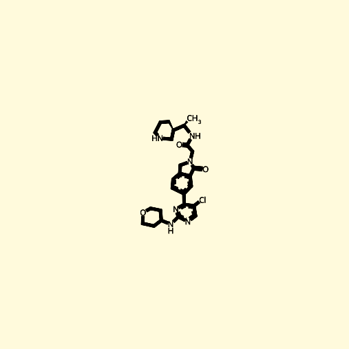 C[C@@H](NC(=O)CN1Cc2ccc(-c3nc(NC4CCOCC4)ncc3Cl)cc2C1=O)[C@@H]1CCCNC1